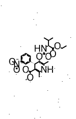 CCOC(=O)[C@@H](NC(=O)OC1=C(C)NC(C)=C(C(=O)OC)[C@@H]1c1cccc([N+](=O)[O-])c1)C(C)C